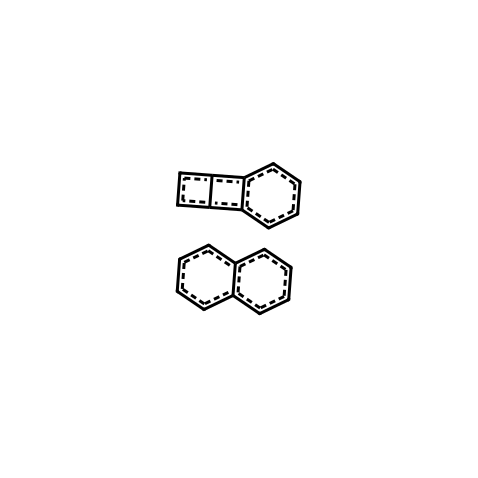 c1ccc2c3ccc-3c2c1.c1ccc2ccccc2c1